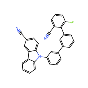 N#Cc1ccc2c(c1)c1ccccc1n2-c1cccc(-c2cccc(-c3c(F)cccc3C#N)c2)c1